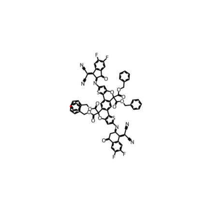 N#CC(C#N)=C1/C(=N/c2cc3c(s2)-c2cc4c(cc2C(C(=O)OCc2ccccc2)(C(=O)OCc2ccccc2)O3)-c2sc(/N=C3\CC(=O)c5cc(F)c(F)cc5C3=C(C#N)C#N)cc2OC4(C(=O)OCc2ccccc2)C(=O)OCc2ccccc2)C(=O)c2cc(F)c(F)cc21